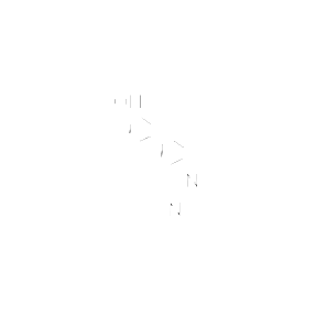 CN(C)C1CCN(Cc2ccc(-c3ccc(CO)cc3)cc2)C1